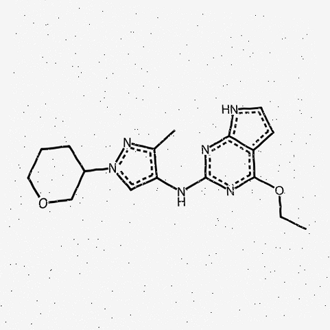 CCOc1nc(Nc2cn(C3CCCOC3)nc2C)nc2[nH]ccc12